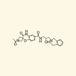 CC(=O)N1CC2(C1)Oc1ccc(C(=O)NCC(O)CN3CCc4ccccc4C3)cc1NC2=O